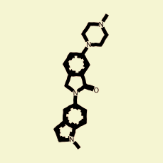 CN1CCN(c2ccc3c(c2)C(=O)N(c2ccc4c(ccn4C)c2)C3)CC1